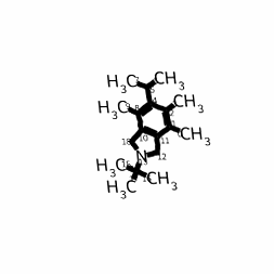 Cc1c(C)c(C(C)C)c(C)c2c1CN(C(C)(C)C)C2